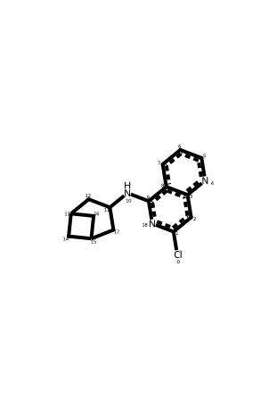 Clc1cc2ncccc2c(NC2CC3CC(C3)C2)n1